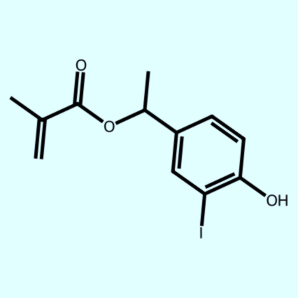 C=C(C)C(=O)OC(C)c1ccc(O)c(I)c1